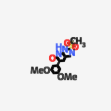 COc1cc(OC)cc(-c2cc3cnc(S(C)(=O)=O)nc3[nH]c2=O)c1